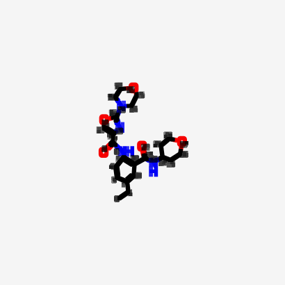 CCc1ccc(NC(=O)c2coc(N3CCOCC3)n2)c(C(=O)NC2CCOCC2)c1